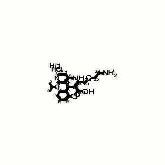 CC(C)Oc1nccc2c1C(c1ccccc1Cl)C(C(=O)O)=C(COCCN)N2.Cl.Cl